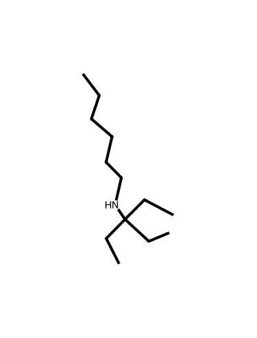 CCCCCCNC(CC)(CC)CC